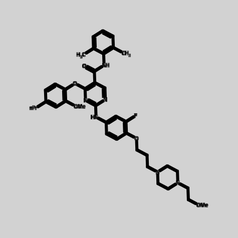 CCCc1ccc(Oc2nc(Nc3ccc(OCCCN4CCN(CCOC)CC4)c(F)c3)ncc2C(=O)Nc2c(C)cccc2C)c(OC)c1